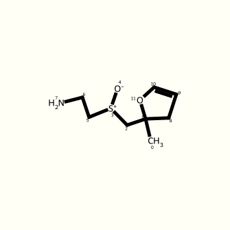 CC1(C[S+]([O-])CCN)CC=CO1